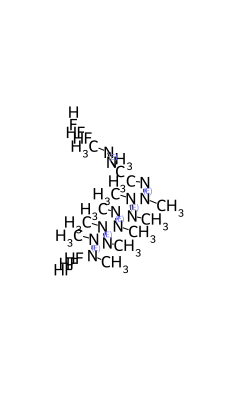 C/N=N/C.C/N=N/C.C/N=N/C.C/N=N/C.C/N=N/C.C/N=N/C.F.F.F.F.F.F